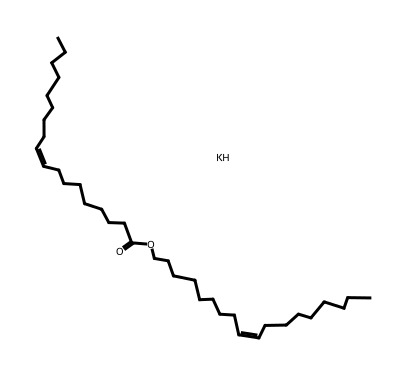 CCCCCCCC/C=C\CCCCCCCCOC(=O)CCCCCCC/C=C\CCCCCCCC.[KH]